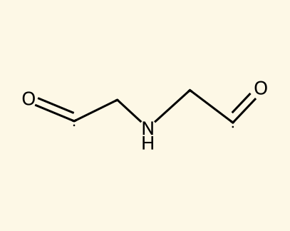 O=[C]CNC[C]=O